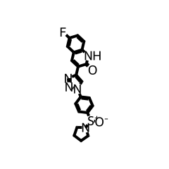 O=c1[nH]c2ccc(F)cc2cc1-c1cn(-c2ccc([S+]([O-])N3CCCC3)cc2)nn1